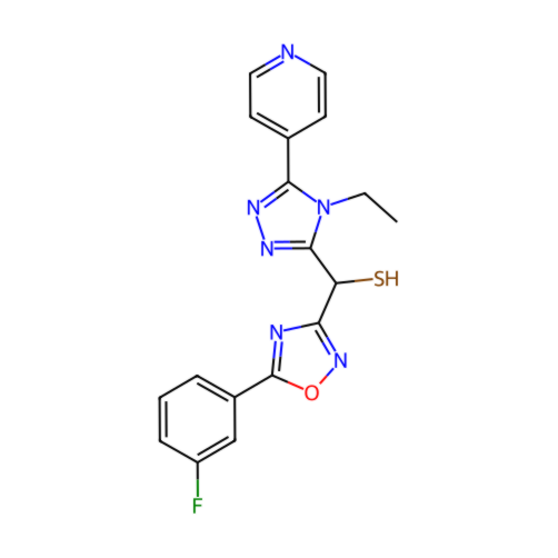 CCn1c(-c2ccncc2)nnc1C(S)c1noc(-c2cccc(F)c2)n1